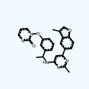 Cc1nc(NC(C)c2cccc(On3cccnc3=O)c2)cc(-c2ccc3occ(C)c3c2)n1